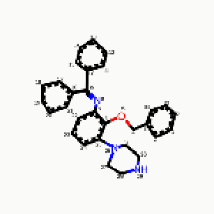 c1ccc(COc2c(N=C(c3ccccc3)c3ccccc3)cccc2N2CCNCC2)cc1